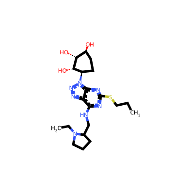 CCCSc1nc(NCC2CCCN2CC)c2nnn([C@@H]3CC[C@H](O)[C@@H](O)[C@H]3O)c2n1